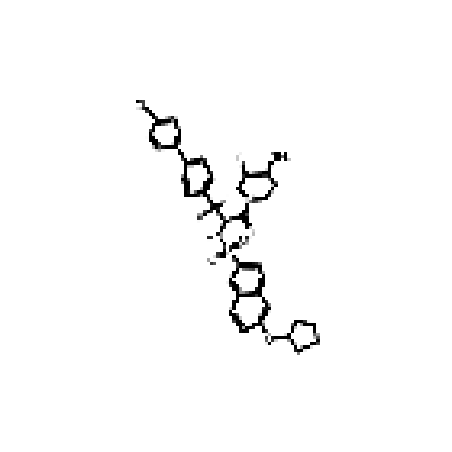 NC1CCN(C(=O)C(NS(=O)(=O)c2ccc3cc(OC4CCCC4)ccc3c2)C(F)(F)c2ccc(-c3ccc(Cl)cc3)cc2)CC1F